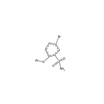 CC(C)Oc1ccc(Br)cc1S(N)(=O)=O